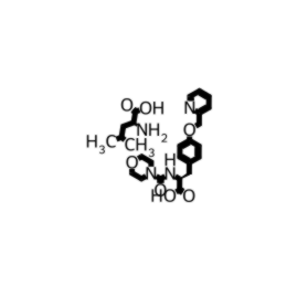 CC(C)C[C@H](N)C(=O)O.O=C(O)[C@H](Cc1ccc(OCc2ccccn2)cc1)NC(=O)N1CCOCC1